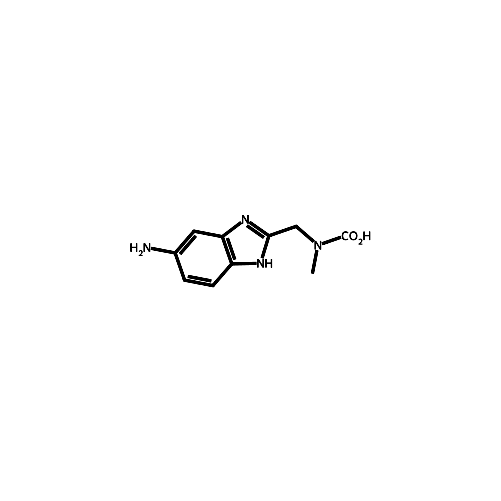 CN(Cc1nc2cc(N)ccc2[nH]1)C(=O)O